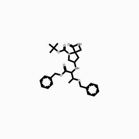 CC(OCc1ccccc1)C(NC1CN(C(=O)OC(C)(C)C)C2(CNC2=O)C1)C(=O)OCc1ccccc1